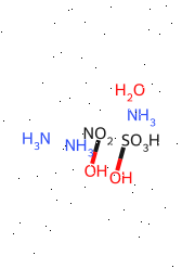 N.N.N.O.O=S(=O)(O)O.O=[N+]([O-])O